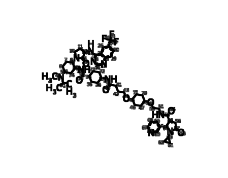 CC(C)N(C)[C@@H]1CC[C@H](N2CC[C@H](Nc3ncnc4ccc(C(F)(F)F)cc34)C2=O)[C@H](NC(=O)[C@H]2CC[C@H](NC(=O)CCCO[C@H]3CC[C@H](OCCNC(=O)[C@H]4CC(=O)N(C5CC5)[C@@H]4c4cccnc4)CC3)CC2)C1